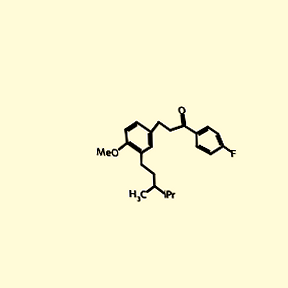 COc1ccc(CCC(=O)c2ccc(F)cc2)cc1CCC(C)C(C)C